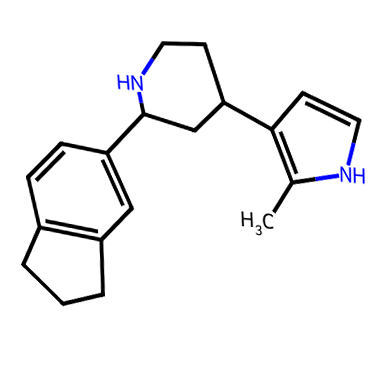 Cc1[nH]ccc1C1CCNC(c2ccc3c(c2)CCC3)C1